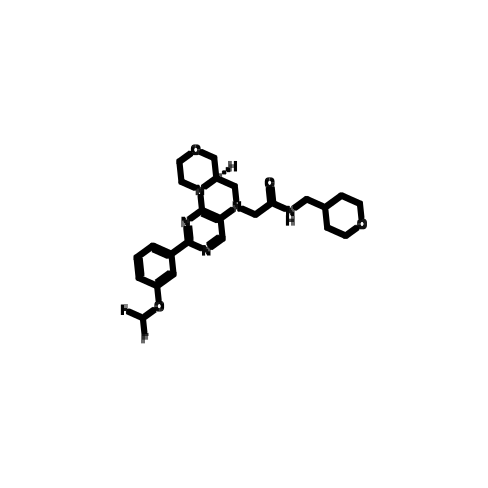 O=C(CN1C[C@@H]2COCCN2c2nc(-c3cccc(OC(F)F)c3)ncc21)NCC1CCOCC1